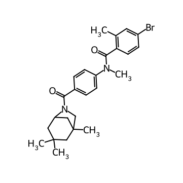 Cc1cc(Br)ccc1C(=O)N(C)c1ccc(C(=O)N2CC3(C)CC2CC(C)(C)C3)cc1